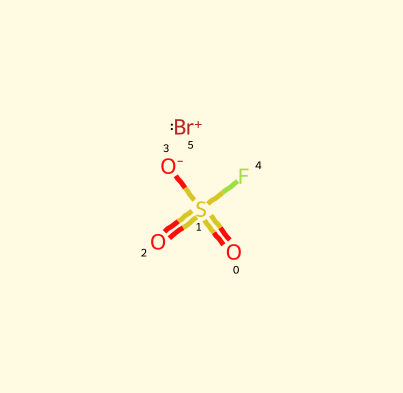 O=S(=O)([O-])F.[Br+]